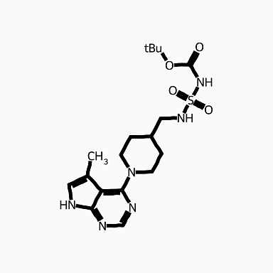 Cc1c[nH]c2ncnc(N3CCC(CNS(=O)(=O)NC(=O)OC(C)(C)C)CC3)c12